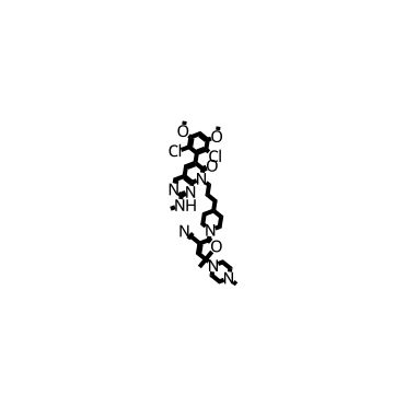 CNc1ncc2cc(-c3c(Cl)c(OC)cc(OC)c3Cl)c(=O)n(CCCC3CCN(C(=O)/C(C#N)=C\C(C)(C)N4CCN(C)CC4)CC3)c2n1